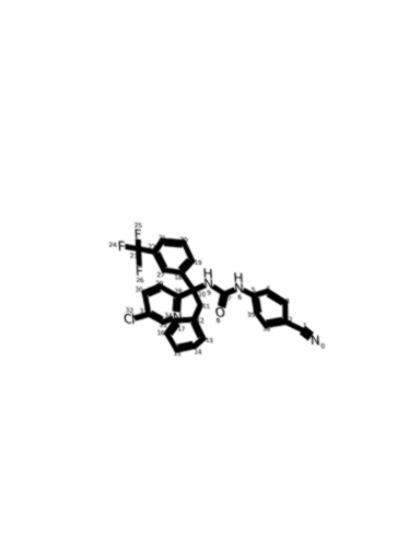 N#Cc1ccc(NC(=O)NC(Cc2ccccc2)(c2cccc(C(F)(F)F)c2)c2ccc(Cl)cn2)cc1